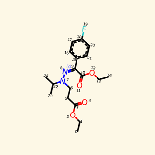 CCOC(=O)CCN(/N=C(\C(=O)OCC)c1ccc(F)cc1)C(C)C